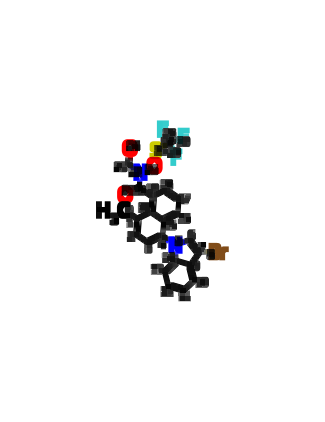 Cc1ccc(-n2cc(Br)c3ccccc32)c2cccc(C(=O)N(C=O)OSC(F)(F)F)c12